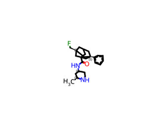 C[C@H]1C[C@@H](NC(=O)C23CC4C[C@@](CF)(C2)C[C@](c2ccccc2)(C4)C3)CCN1